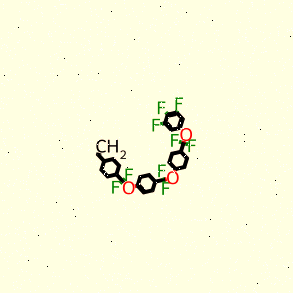 C=CC1CCC(C(F)(F)OC2=CCC(C(F)(F)OC3CCC(C(F)(F)Oc4cc(F)c(F)c(F)c4)CC3)CC2)CC1